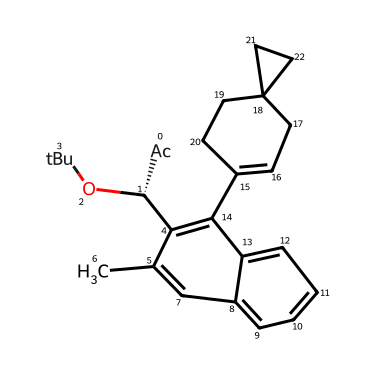 CC(=O)[C@@H](OC(C)(C)C)c1c(C)cc2ccccc2c1C1=CCC2(CC1)CC2